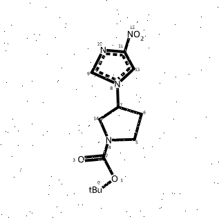 CC(C)(C)OC(=O)N1CCC(n2cnc([N+](=O)[O-])c2)C1